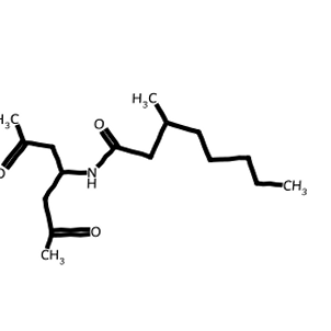 CCCCCC(C)CC(=O)NC(CC(C)=O)CC(C)=O